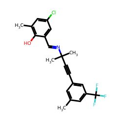 Cc1cc(C#CC(C)(C)/N=C/c2cc(Cl)cc(C)c2O)cc(C(F)(F)F)c1